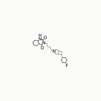 O=c1[nH]c2ccccc2c(=O)n1CCCCN1CC2CC(c3ccc(F)cc3)C2C1